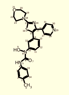 Cc1ccc(NC(=O)N(O)c2cccc(-c3sc(N4CCOCC4)nc3-c3ccncc3)c2)cc1